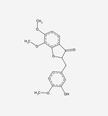 COc1ccc(CC2Oc3c(ccc(OC)c3OC)C2=O)cc1O